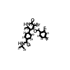 Cc1[nH]c(=O)c(Br)c(OCc2ccc(F)cc2F)c1-c1ccc(C(=O)NC(C)C)cc1